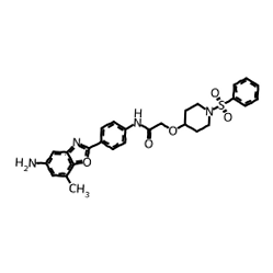 Cc1cc(N)cc2nc(-c3ccc(NC(=O)COC4CCN(S(=O)(=O)c5ccccc5)CC4)cc3)oc12